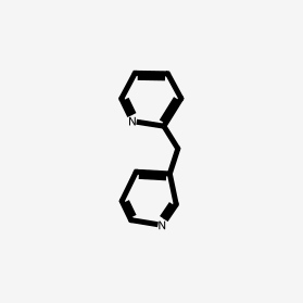 c1ccc(Cc2cccnc2)nc1